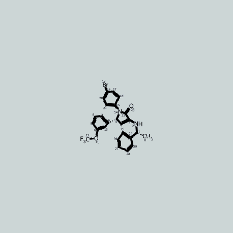 C[C@@H](NC1=C[C@H](c2cccc(OC(F)(F)F)c2)N(c2ccc(Br)cc2)C1=O)c1ccccc1